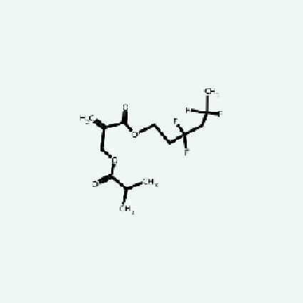 C=C(COC(=O)C(C)C)C(=O)OCCC(F)(F)CC(C)(F)F